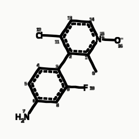 Cc1c(-c2ccc(N)cc2F)c(Cl)cc[n+]1[O-]